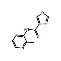 Cc1ncccc1NC(=O)c1cocn1